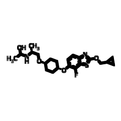 CC(O)N[C@@H](C)CO[C@H]1CC[C@H](Oc2ccc3nc(OCC4CC4)sc3c2F)CC1